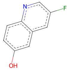 Oc1ccc2ncc(F)cc2c1